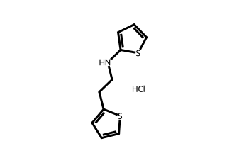 Cl.c1csc(CCNc2cccs2)c1